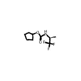 C[C@H](NC(=O)OC1CCCC1)C(F)(F)F